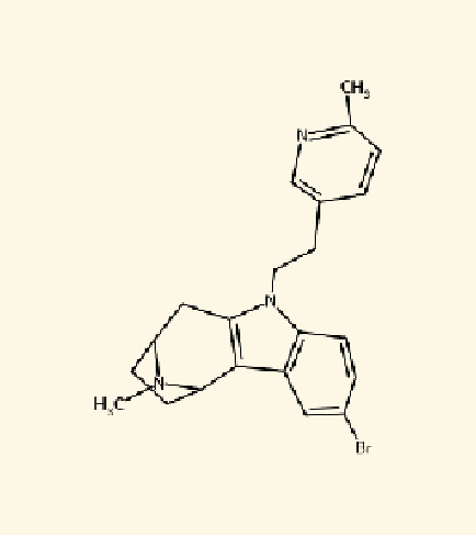 Cc1ccc(CCn2c3c(c4cc(Br)ccc42)C2CCC(C3)N2C)cn1